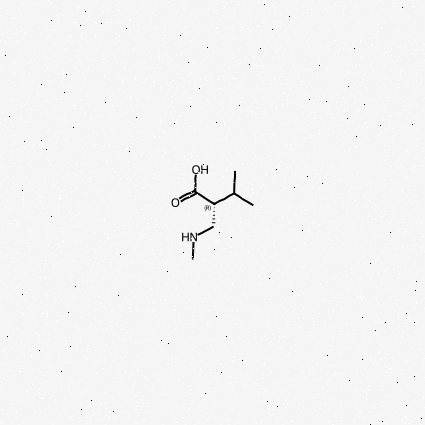 CNC[C@H](C(=O)O)C(C)C